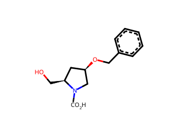 O=C(O)N1C[C@H](OCc2ccccc2)C[C@@H]1CO